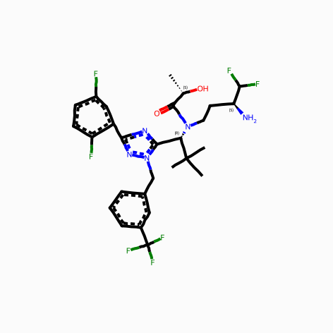 C[C@H](O)C(=O)N(CC[C@H](N)C(F)F)[C@@H](c1nc(-c2cc(F)ccc2F)nn1Cc1cccc(C(F)(F)F)c1)C(C)(C)C